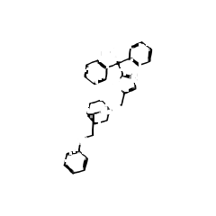 OC(c1ccccc1)(c1ccccc1)c1ncc(C[N+]23CCC(CC2)C(COc2ccccc2)C3)o1